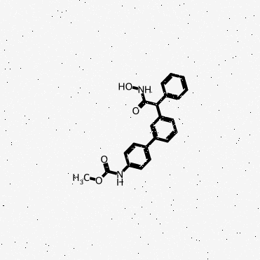 COC(=O)Nc1ccc(-c2cccc(C(C(=O)NO)c3ccccc3)c2)cc1